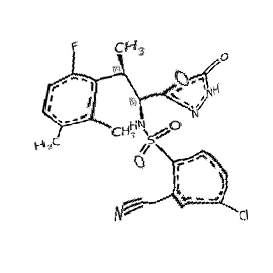 Cc1ccc(F)c([C@@H](C)[C@H](NS(=O)(=O)c2ccc(Cl)cc2C#N)c2n[nH]c(=O)o2)c1C